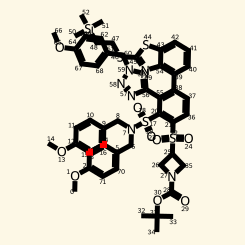 COc1ccc(CN(Cc2ccc(OC)cc2)S(=O)(=O)c2c(S(=O)(=O)C3CN(C(=O)OC(C)(C)C)C3)ccc(-c3cccc4sc(SCC[Si](C)(C)C)nc34)c2-c2nnn(Cc3ccc(OC)cc3)n2)cc1